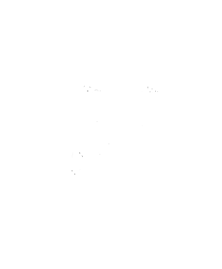 COc1ccc(C2C=CNN2)cc1OC